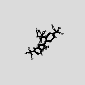 CCS(=O)(=O)C1=CC(C(F)(F)F)=CCC1c1nc2cc(C(F)(F)F)cnc2[nH]1